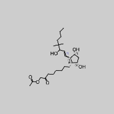 CCCCC(C)(C)C(O)/C=C/[C@@H]1[C@@H](CCCCCCC(=O)COC(C)=O)[C@@H](O)C[C@H]1O